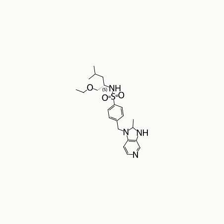 CCOC[C@H](CC(C)C)NS(=O)(=O)c1ccc(CN2c3ccncc3NC2C)cc1